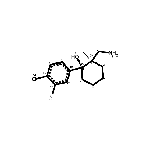 C[C@]1(CN)CCCC[C@]1(O)c1ccc(Cl)c(Cl)c1